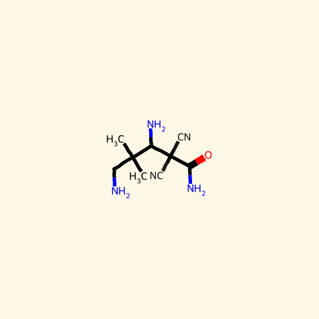 CC(C)(CN)C(N)C(C#N)(C#N)C(N)=O